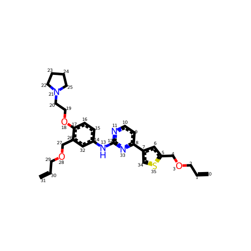 C=CCOCc1cc(-c2ccnc(Nc3ccc(OCCN4CCCC4)c(COCC=C)c3)n2)cs1